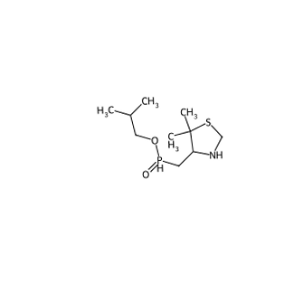 CC(C)CO[PH](=O)CC1NCSC1(C)C